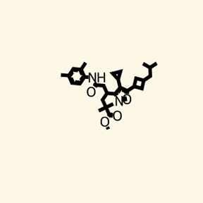 COC(=O)C(C)(C)CC(CC(=O)Nc1ccc(C)cc1C)c1noc(C2CC(CC(C)C)C2)c1C1CC1